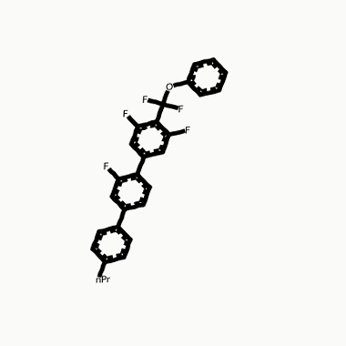 CCCc1ccc(-c2ccc(-c3cc(F)c(C(F)(F)Oc4ccccc4)c(F)c3)c(F)c2)cc1